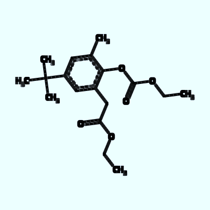 CCOC(=O)Cc1cc(C(C)(C)C)cc(C)c1OC(=O)OCC